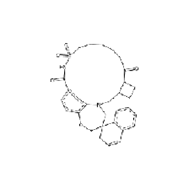 O=C1NS(=O)(=O)CCCCCC(=O)C2CCC2CN2CC3(CC=Cc4ccccc43)COc3ccc1cc32